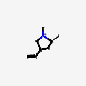 C=CC1C[C@@H](C)N(C)C1